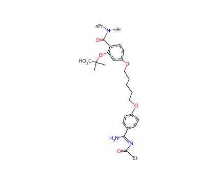 CCCN(CCC)C(=O)c1ccc(OCCCCCOc2ccc(C(N)=NC(=O)CC)cc2)cc1OC(C)(C)C(=O)O